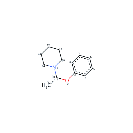 C[C@@H](Oc1cc[c]cc1)N1CCCCC1